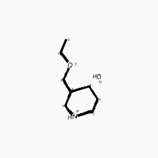 CCOCC1CCCNC1.Cl